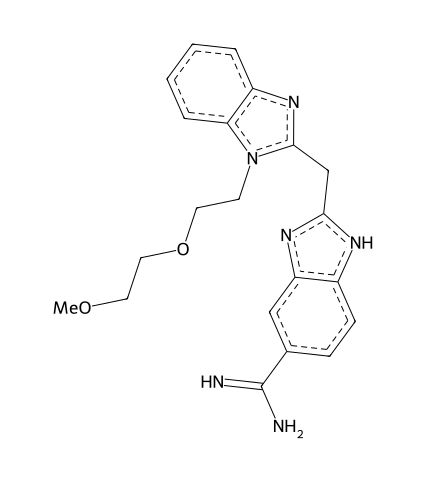 COCCOCCn1c(Cc2nc3cc(C(=N)N)ccc3[nH]2)nc2ccccc21